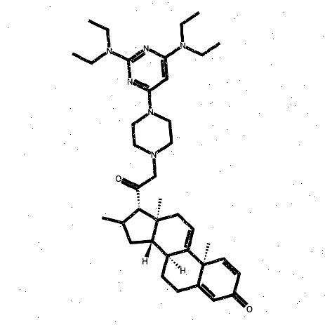 CCN(CC)c1cc(N2CCN(CC(=O)[C@H]3C(C)C[C@H]4[C@@H]5CCC6=CC(=O)C=C[C@]6(C)C5=CC[C@]34C)CC2)nc(N(CC)CC)n1